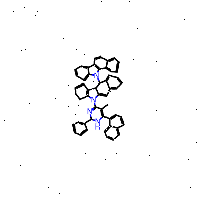 CC1=C(c2cccc3ccccc23)NC(c2ccccc2)N=C1N1C2=Cc3ccccc3C(n3c4ccccc4c4ccc5ccccc5c43)C2C2=C1CCC=C2